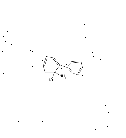 NC1(O)CC=CC=C1c1ccccc1